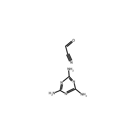 N#CC=O.Nc1nc(N)nc(N)n1